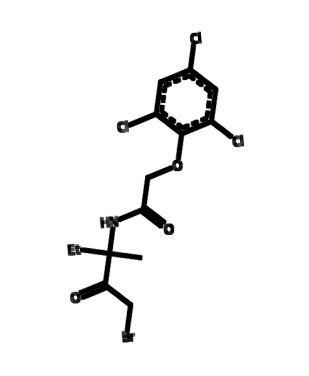 CCC(C)(NC(=O)COc1c(Cl)cc(Cl)cc1Cl)C(=O)CBr